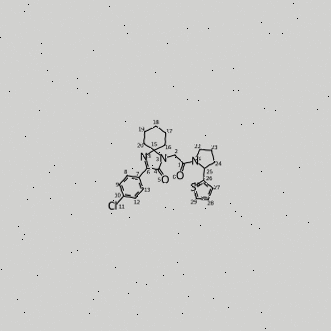 O=C(CN1C(=O)C(c2ccc(Cl)cc2)=NC12CCCCC2)N1CCCC1c1cccs1